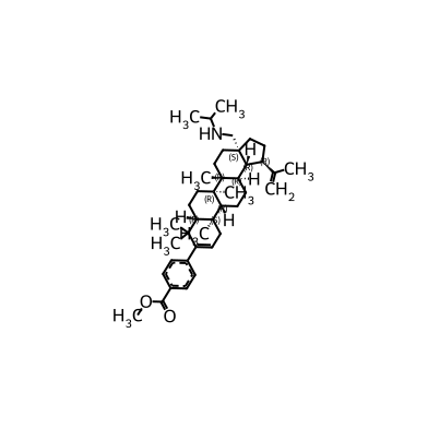 C=C(C)[C@@H]1CC[C@]2(CNC(C)C)CC[C@]3(C)[C@H](CC[C@@H]4[C@@]5(C)CC=C(c6ccc(C(=O)OC)cc6)C(C)(C)[C@@H]5CC[C@]43C)[C@@H]12